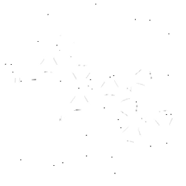 C=Cc1ccc(C23CC4CC(C2)CC(c2ccc(N(c5ccc(CCCC)cc5)c5ccc6c(c5)c5cc7c8ccccc8n(-c8ccccc8)c7cc5n6-c5ccccc5)cc2)(C4)C3)cc1